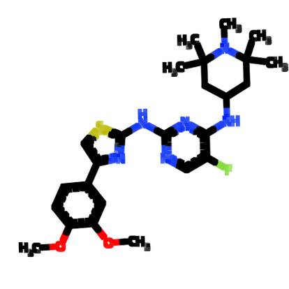 COc1ccc(-c2csc(Nc3ncc(F)c(NC4CC(C)(C)N(C)C(C)(C)C4)n3)n2)cc1OC